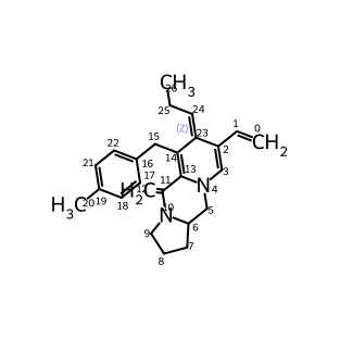 C=CC1=CN2CC3CCCN3C(=C)C2=C(Cc2ccc(C)cc2)/C1=C\CC